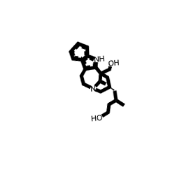 CC(CCO)C[C@@H]1CN2CCc3c([nH]c4ccccc34)C(CO)(C1)C2C